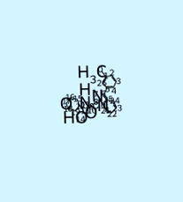 Cc1cccc(-c2nc(C(=O)NC3(CO)CCOCC3)n3ccccc23)c1